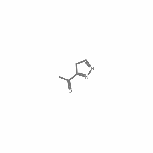 CC(=O)C1=NN=CC1